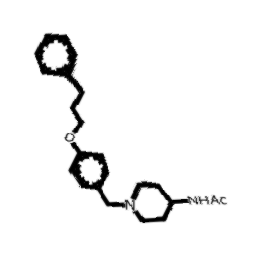 CC(=O)NC1CCN(Cc2ccc(OCCCc3ccccc3)cc2)CC1